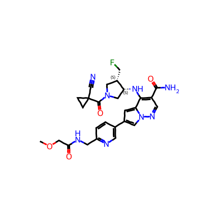 COCC(=O)NCc1ccc(-c2cc3c(N[C@@H]4CN(C(=O)C5(C#N)CC5)C[C@@H]4CF)c(C(N)=O)cnn3c2)cn1